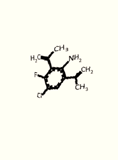 C=C(C)c1cc(Cl)c(F)c(C(=C)C)c1N